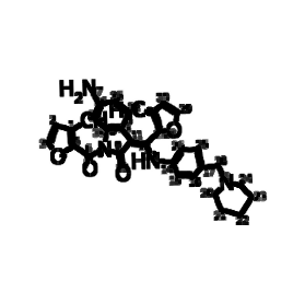 Cc1ccoc1C(=O)N1C(=O)/C(=C(\Nc2ccc(CN3CCCCC3)cc2)c2occc2C)c2ccc(N)cc21